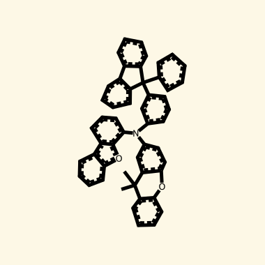 CC1(C)c2ccccc2Oc2ccc(N(c3cccc(C4(c5ccccc5)c5ccccc5-c5ccccc54)c3)c3cccc4c3oc3ccccc34)cc21